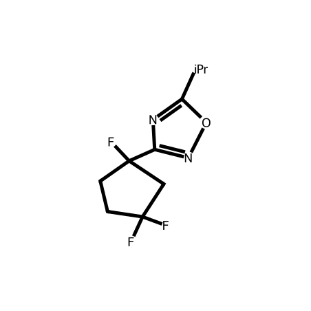 CC(C)c1nc(C2(F)CCC(F)(F)C2)no1